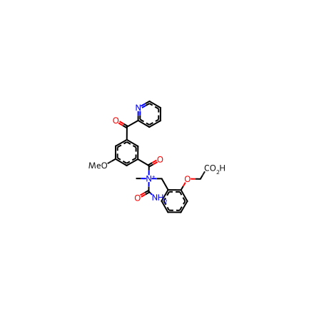 COc1cc(C(=O)c2ccccn2)cc(C(=O)[N+](C)(Cc2ccccc2OCC(=O)O)C(N)=O)c1